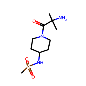 CC(C)(N)C(=O)N1CCC(NS(C)(=O)=O)CC1